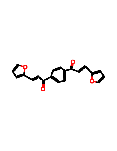 O=C(C=Cc1ccco1)c1ccc(C(=O)C=Cc2ccco2)cc1